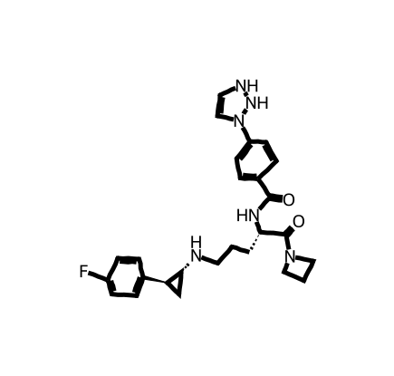 O=C(N[C@@H](CCCN[C@@H]1C[C@H]1c1ccc(F)cc1)C(=O)N1CCC1)c1ccc(N2C=CNN2)cc1